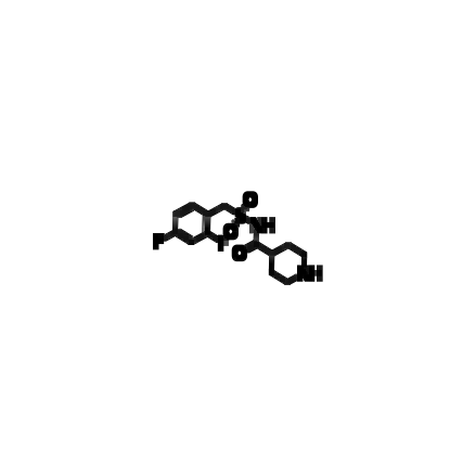 O=C(NS(=O)(=O)Cc1ccc(F)cc1F)C1CCNCC1